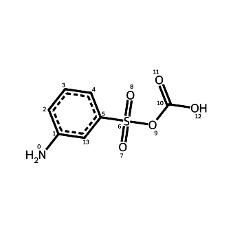 Nc1cccc(S(=O)(=O)OC(=O)O)c1